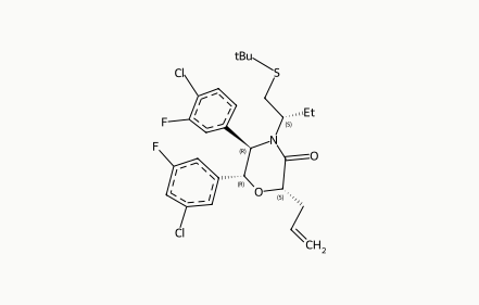 C=CC[C@@H]1O[C@H](c2cc(F)cc(Cl)c2)[C@@H](c2ccc(Cl)c(F)c2)N([C@@H](CC)CSC(C)(C)C)C1=O